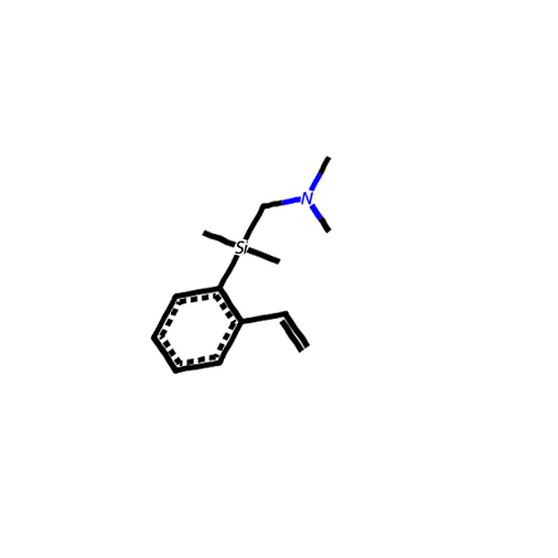 C=Cc1ccccc1[Si](C)(C)CN(C)C